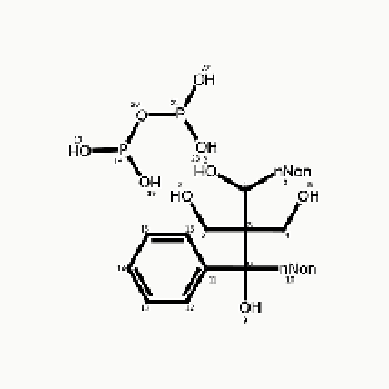 CCCCCCCCCC(O)C(CO)(CO)C(O)(CCCCCCCCC)c1ccccc1.OP(O)OP(O)O